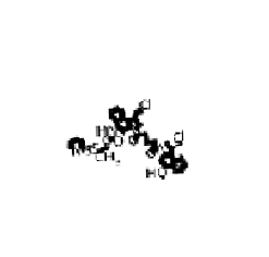 CC(COC(=O)Nc1cc2c(c3ccccc13)C(/C=C/Cl)CN2C(=O)CCCC(=O)N1C[C@@H](CCl)c2c1cc(O)c1ccccc21)SSc1ccccn1